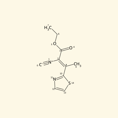 [C-]#[N+]C(C(=O)OCC)=C(C)c1nccs1